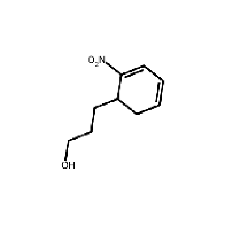 O=[N+]([O-])C1=CC=CCC1CCCO